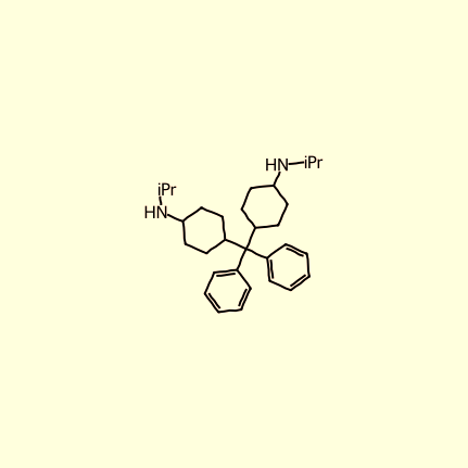 CC(C)NC1CCC(C(c2ccccc2)(c2ccccc2)C2CCC(NC(C)C)CC2)CC1